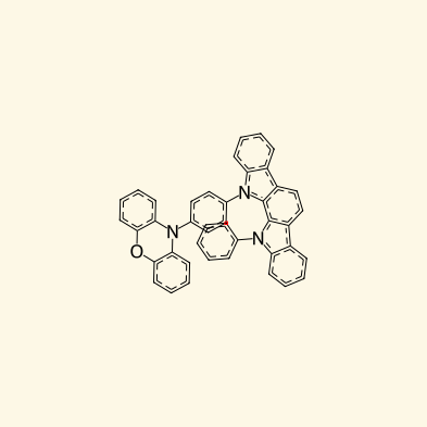 c1ccc(-n2c3ccccc3c3ccc4c5ccccc5n(-c5ccc(N6c7ccccc7Oc7ccccc76)cc5)c4c32)cc1